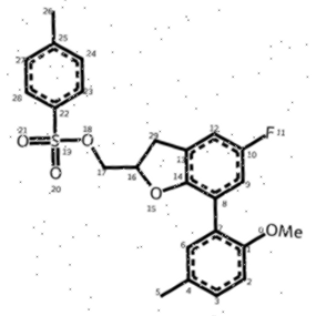 COc1ccc(C)cc1-c1cc(F)cc2c1OC(COS(=O)(=O)c1ccc(C)cc1)C2